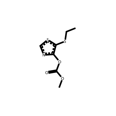 CCSc1scnc1OC(=O)OC